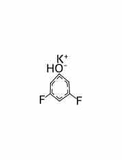 Fc1cccc(F)c1.[K+].[OH-]